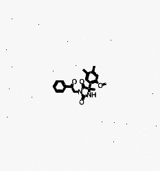 COc1cc(C)c(C)cc1C1(C)NC(=O)N(CC(=O)c2ccccc2)C1=O